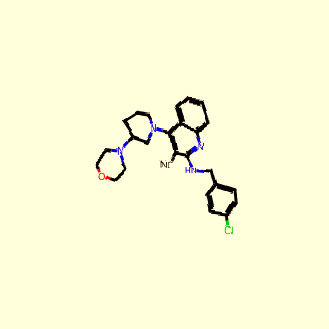 N#Cc1c(NCc2ccc(Cl)cc2)nc2ccccc2c1N1CCCC(N2CCOCC2)C1